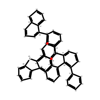 c1ccc(-c2ccccc2-c2c(-c3ccccc3)cccc2N(c2cccc(-c3cccc4ccccc34)c2)c2ccc3c(c2)sc2ccccc23)cc1